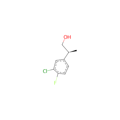 C[C@H](CO)c1ccc(F)c(Cl)c1